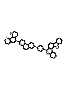 c1cnc2c(c1)cc(-c1ccc3c(ccc4cc(-c5ccc(-c6nc7ccccc7c7c6ccc6c8ccccc8oc67)cc5)ccc43)c1)c1cccnc12